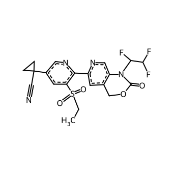 CCS(=O)(=O)c1cc(C2(C#N)CC2)cnc1-c1cc2c(cn1)N(C(F)C(F)F)C(=O)OC2